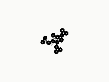 c1cc(-c2cccc(-c3cc4c5ccccc5c5ccccc5c4cc3-c3ccc4c(c3)c3ccccc3n4-c3ccc4sc5ccc(-n6c7ccccc7c7ccccc76)cc5c4c3)c2)cc(-c2ccc3c4ccccc4c4ccccc4c3c2)c1